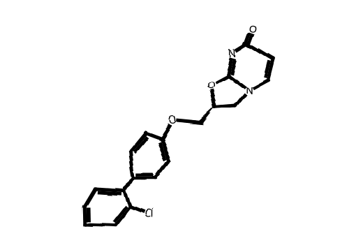 O=c1ccn2c(n1)O[C@H](COc1ccc(-c3ccccc3Cl)cc1)C2